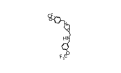 FC(F)(F)Oc1ccc(CN2CC3C(CNCc4cccc(OC(F)(F)F)c4)C3C2)cc1